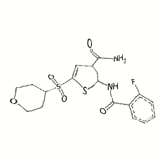 NC(=O)C1C=C(S(=O)(=O)C2CCOCC2)SC1NC(=O)c1ccccc1F